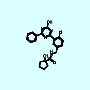 CC1(C(=O)NCc2ccc(Cl)c(-c3nc(O)nc(-c4ccccc4)n3)c2)CCCC1